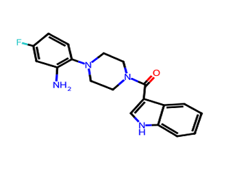 Nc1cc(F)ccc1N1CCN(C(=O)c2c[nH]c3ccccc23)CC1